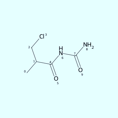 CC(CCl)C(=O)NC(N)=O